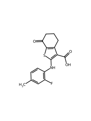 Cc1ccc(Nc2sc3c(c2C(=O)O)CCCC3=O)c(F)c1